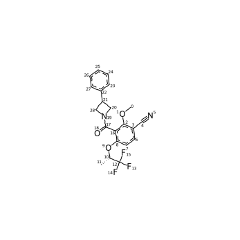 COc1c(C#N)ccc(O[C@@H](C)C(F)(F)F)c1C(=O)N1CC(c2ccccc2)C1